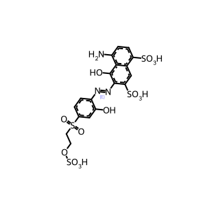 Nc1ccc(S(=O)(=O)O)c2cc(S(=O)(=O)O)c(/N=N/c3ccc(S(=O)(=O)CCOS(=O)(=O)O)cc3O)c(O)c12